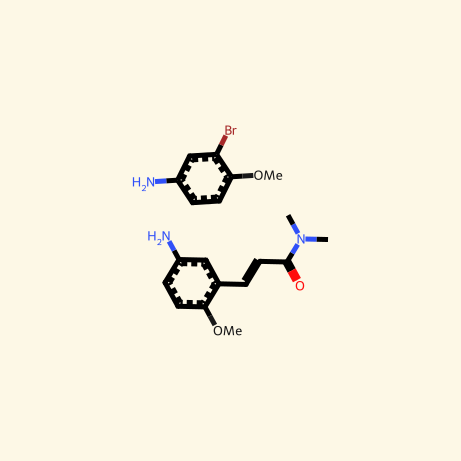 COc1ccc(N)cc1/C=C/C(=O)N(C)C.COc1ccc(N)cc1Br